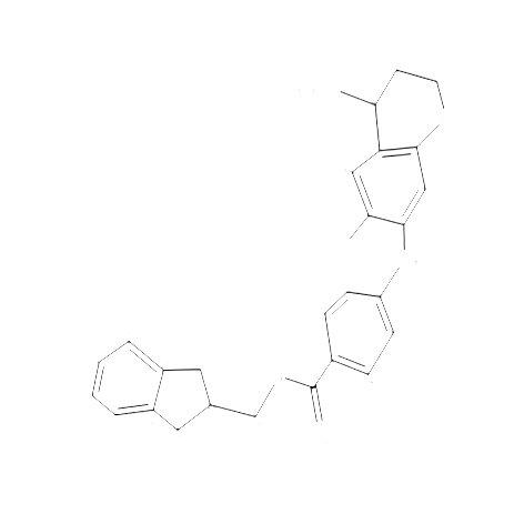 CCOC(=O)C1CCOc2cc(Oc3ccc(C(=O)NCC4Cc5ccccc5C4)cc3)c(Cl)cc21